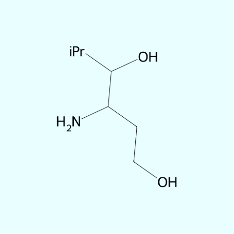 CC(C)C(O)C(N)CCO